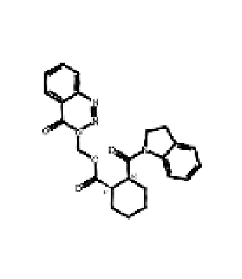 O=C(OCn1nnc2ccccc2c1=O)[C@@H]1CCCC[C@@H]1C(=O)N1CCc2ccccc21